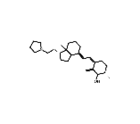 C=C1/C(=C\C=C2/CCCC3(C)C2CC[C@@H]3CCN2CCCC2)CC[C@H](C)C1O